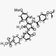 COc1cc(F)c(-c2c(NC(=O)c3ccc(OC(F)F)cc3)c(=O)n(-c3nc(C4CCN(S(C)(=O)=O)CC4)ccc3Cl)n2C)c(F)c1